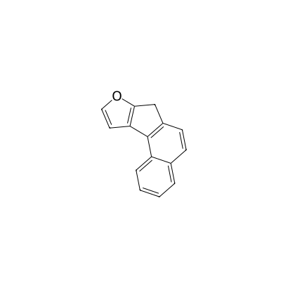 c1ccc2c3c(ccc2c1)Cc1occc1-3